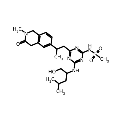 CC(C)CC(CO)Nc1nc(CC(C)c2ccc3c(c2)CC(=O)N(C)C3)nc(NS(C)(=O)=O)n1